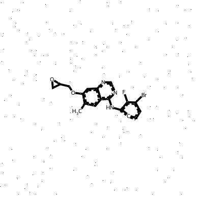 Cc1cc2c(Nc3cccc(Br)c3F)ncnc2cc1OCC1CO1